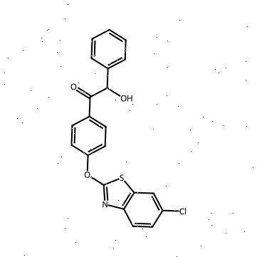 O=C(c1ccc(Oc2nc3ccc(Cl)cc3s2)cc1)C(O)c1ccccc1